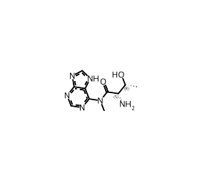 C[C@@H](O)[C@H](N)C(=O)N(C)c1ncnc2nc[nH]c12